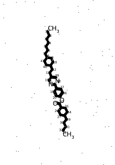 CCCCCCCCC1CCC(CCc2cnc(-c3ccc(OC(=O)C4CCC(CCCCC)CC4)cc3)nc2)CC1